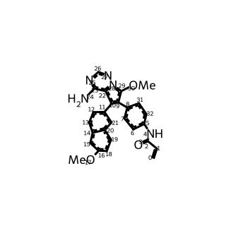 C=CC(=O)Nc1ccc(-c2c(-c3ccc4cc(OC)ccc4c3)c3c(N)ncnn3c2OC)cc1